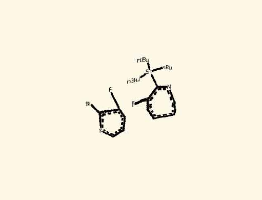 CCC[CH2][Sn]([CH2]CCC)([CH2]CCC)[c]1ncccc1F.Fc1cccnc1Br